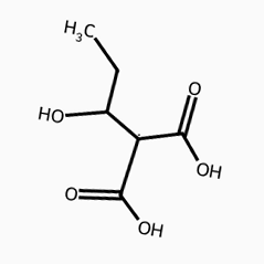 CCC(O)[C](C(=O)O)C(=O)O